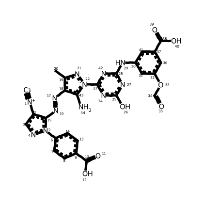 [C-]#[N+]c1cnn(-c2ccc(C(=O)O)cc2)c1/N=N/c1c(C)nn(-c2nc(O)nc(Nc3cc(OC=O)cc(C(=O)O)c3)n2)c1N